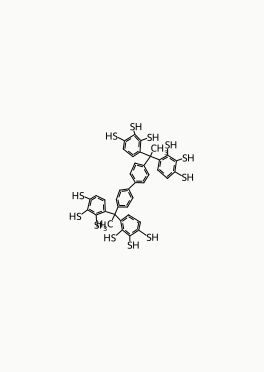 CC(c1ccc(-c2ccc(C(C)(c3ccc(S)c(S)c3S)c3ccc(S)c(S)c3S)cc2)cc1)(c1ccc(S)c(S)c1S)c1ccc(S)c(S)c1S